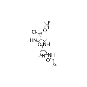 Cc1cc(C(=O)NC(C)C(C=N)C2C(Cl)=C2OCC(F)(I)I)cc(NC(=O)CC2CC2)n1